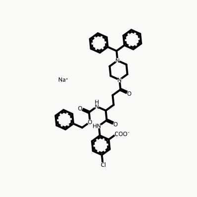 O=C(NC(CCC(=O)N1CCN(C(c2ccccc2)c2ccccc2)CC1)C(=O)Nc1ccc(Cl)cc1C(=O)[O-])OCc1ccccc1.[Na+]